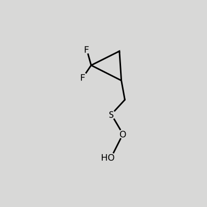 OOSCC1CC1(F)F